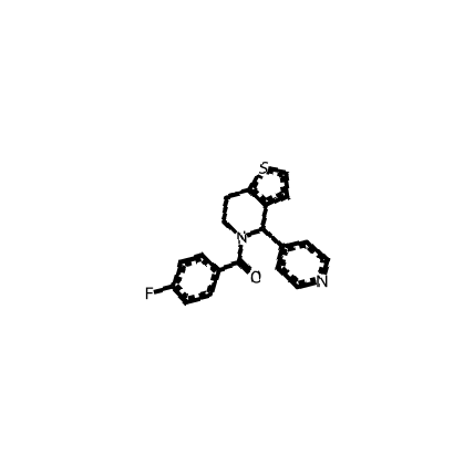 O=C(c1ccc(F)cc1)N1CCc2sccc2C1c1ccncc1